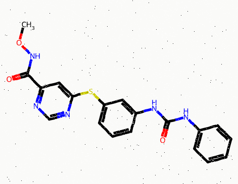 CONC(=O)c1cc(Sc2cccc(NC(=O)Nc3ccccc3)c2)ncn1